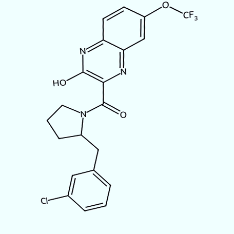 O=C(c1nc2cc(OC(F)(F)F)ccc2nc1O)N1CCCC1Cc1cccc(Cl)c1